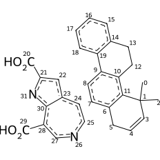 CC1(C)C=CCc2ccc3c(c21)CCc1ccccc1-3.O=C(O)c1cc2ccncc(C(=O)O)c-2n1